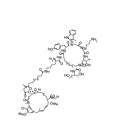 COc1cc2cc(c1Cl)N(C)C(=O)C[C@H](OC(=O)[C@H](C)N(C)C(=O)CCSSCCC(=O)NCCCC[C@@H](N)C(=O)N[C@H]1CSSC[C@@H](C(=O)N[C@H](C(=O)O)[C@@H](C)O)NC(=O)[C@H]([C@@H](C)O)NC(=O)[C@H](CCCCN)NC(=O)[C@@H](Cc3c[nH]c4ccccc34)NC(=O)[C@H](Cc3ccc(O)cc3)NC1=O)[C@]1(C)O[C@H]1[C@H](C)CCC(NC(=O)O)[C@H](OC)/C=C/C=C(\C)C2